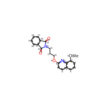 COc1cccc2ccc(OCCCN3C(=O)c4ccccc4C3=O)nc12